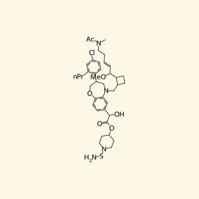 CCCc1cc(Cl)ccc1C1COc2ccc(C(O)C(=O)OC3CCN(SN)CC3)cc2N(CC2CCC2C(/C=C/CCN(C)C(C)=O)OC)C1